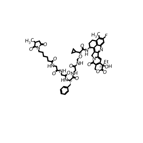 CC[C@@]1(O)C(=O)OCc2c1cc1n(c2=O)Cc2c-1nc1cc(F)c(C)c3c1c2[C@@H](NC(=O)[C@H](OCNC(=O)CNC(=O)[C@H](Cc1ccccc1)NC(=O)CNC(=O)CNC(=O)CCCCCN1C(=O)CC(C)C1=O)C1CC1)CC3